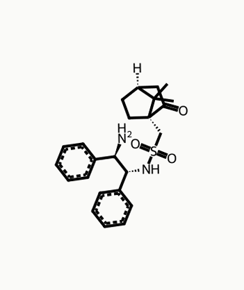 CC1(C)[C@H]2CC[C@]1(CS(=O)(=O)N[C@H](c1ccccc1)[C@H](N)c1ccccc1)C(=O)C2